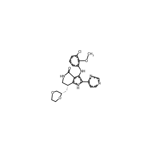 COc1c(Cl)cccc1Nc1c(-c2ccncn2)[nH]c2c1C(=O)NC[C@H]2C[C@H]1COCCO1